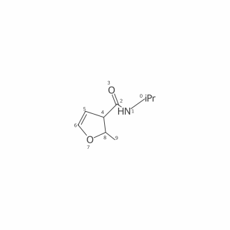 CC(C)NC(=O)C1C=COC1C